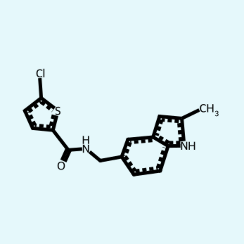 Cc1cc2cc(CNC(=O)c3ccc(Cl)s3)ccc2[nH]1